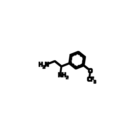 NCC(N)c1cccc(OC(F)(F)F)c1